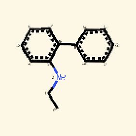 [CH2]CNc1ccccc1-c1ccccc1